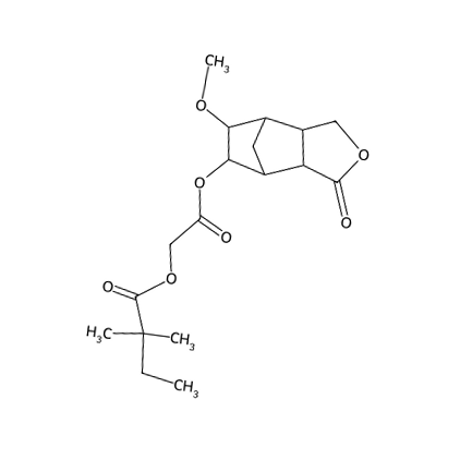 CCC(C)(C)C(=O)OCC(=O)OC1C2CC(C3COC(=O)C32)C1OC